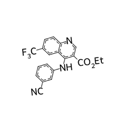 CCOC(=O)c1cnc2ccc(C(F)(F)F)cc2c1Nc1cccc(C#N)c1